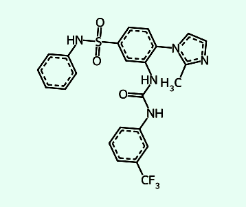 Cc1nccn1-c1ccc(S(=O)(=O)Nc2ccccc2)cc1NC(=O)Nc1cccc(C(F)(F)F)c1